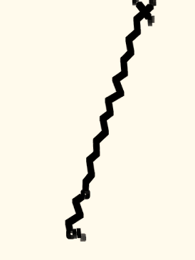 CCCCOCCCCCCCCCCCCCCCCCC(F)(F)F